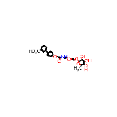 C[C@@H]1O[C@@H](OCCOCCNC(=O)COc2ccc(-c3cccc(C(=O)O)c3)cc2)[C@H](O)[C@H](O)[C@H]1O